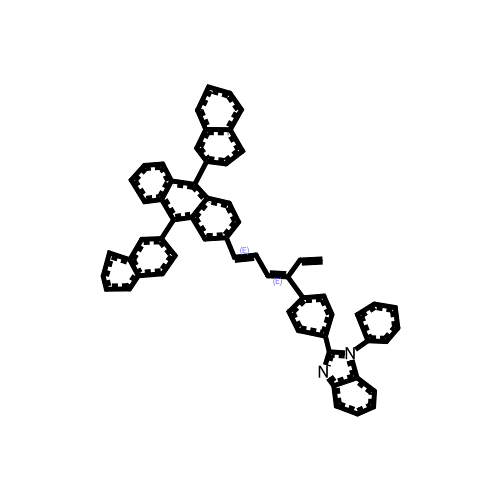 C=C/C(=C\C=C\c1ccc2c(-c3ccc4ccccc4c3)c3ccccc3c(-c3ccc4ccccc4c3)c2c1)c1ccc(-c2nc3ccccc3n2-c2ccccc2)cc1